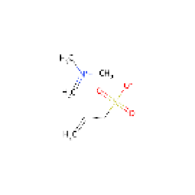 C=CCS(=O)(=O)[O-].C=[N+](C)C